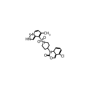 CC1=C(S(=O)(=O)N2CCC(N3C(=O)OC=C4C(Cl)=CC=CC43)CC2)C2=CNSN2C=C1